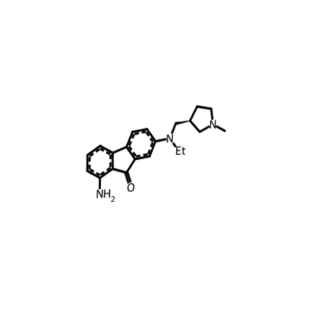 CCN(C[C@H]1CCN(C)C1)c1ccc2c(c1)C(=O)c1c(N)cccc1-2